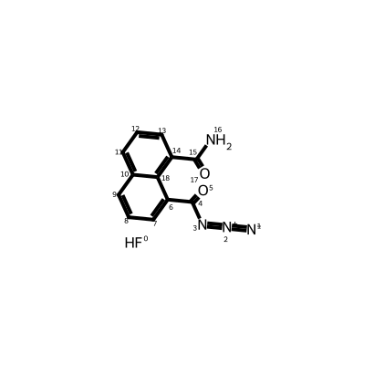 F.[N-]=[N+]=NC(=O)c1cccc2cccc(C(N)=O)c12